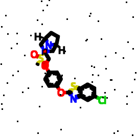 CS(=O)(=O)N1C[C@H]2CC[C@@H](C1)N2CCOc1ccc(Oc2nc3cc(Cl)ccc3s2)cc1